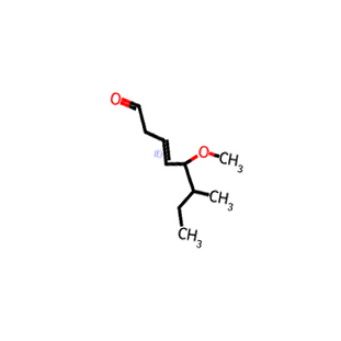 CCC(C)C(/C=C/CC=O)OC